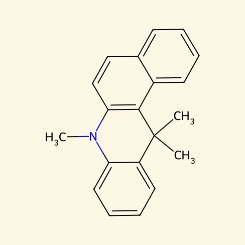 CN1c2ccccc2C(C)(C)c2c1ccc1ccccc21